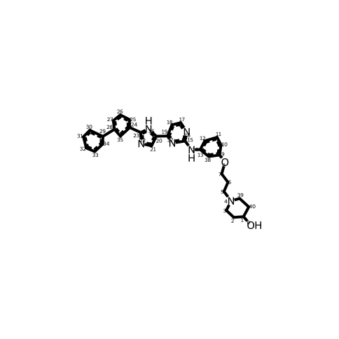 OC1CCN(CCCOc2cccc(Nc3nccc(-c4cnc(-c5cccc(-c6ccccc6)c5)[nH]4)n3)c2)CC1